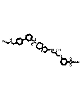 CNS(=O)(=O)c1cccc(OC[C@@H](O)CNC2COC3(CCN(S(=O)(=O)c4cccc(-c5ccc(CNCC(C)C)cc5)c4)CC3)C2)c1